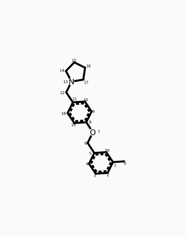 Cc1cccc(COc2ccc(CN3CCCC3)cc2)c1